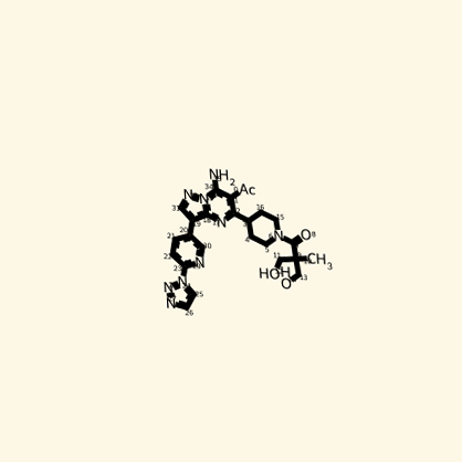 CC(=O)c1c(C2CCN(C(=O)C(C)(CO)CO)CC2)nc2c(-c3ccc(-n4ccnn4)nc3)cnn2c1N